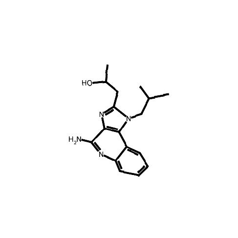 CC(C)Cn1c(CC(C)O)nc2c(N)nc3ccccc3c21